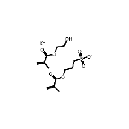 C=C(C)C(=O)OCCCS(=O)(=O)[O-].C=C(C)C(=O)OCCO.[K+]